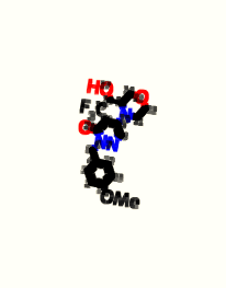 COc1ccc(Cn2ncc(N3CCOC[C@@H]3CO)c(C(F)(F)F)c2=O)cc1